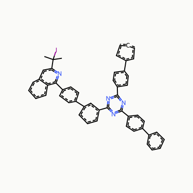 CC(C)(I)c1cc2ccccc2c(-c2ccc(-c3cccc(-c4nc(-c5ccc(-c6ccccc6)cc5)nc(-c5ccc(-c6ccccc6)cc5)n4)c3)cc2)n1